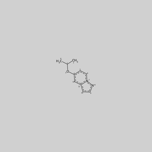 CC(C)Oc1ccn2nccc2c1